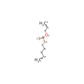 C=CCOC(=S)SCCCCC